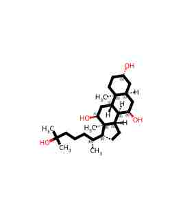 C[C@H](CCCC(C)(C)O)[C@H]1CC[C@H]2[C@@H]3[C@H](O)C[C@@H]4C[C@@H](O)CC[C@]4(C)[C@H]3C[C@H](O)[C@]12C